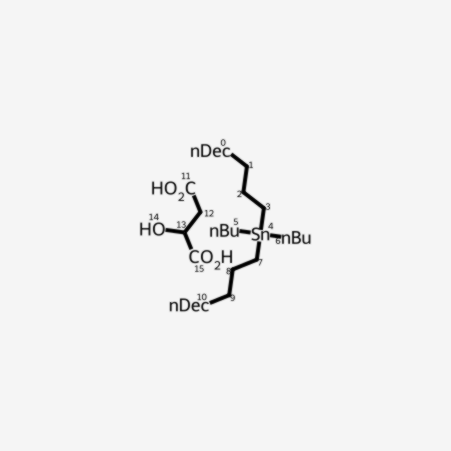 CCCCCCCCCCCC[CH2][Sn]([CH2]CCC)([CH2]CCC)[CH2]CCCCCCCCCCCC.O=C(O)CC(O)C(=O)O